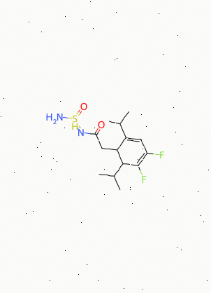 CC(C)C1=CC(F)=C(F)C(C(C)C)C1CC(=O)N=[SH](N)=O